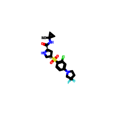 N#CC1(NC(=O)[C@@H]2C[C@@H](S(=O)(=O)c3ccc(N4CCC(F)(F)C4)cc3Cl)CN2)CC1